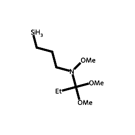 CCC(OC)(OC)N(CCC[SiH3])OC